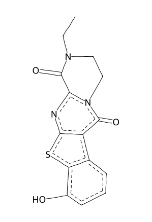 CCN1CCn2c(nc3sc4c(O)cccc4c3c2=O)C1=O